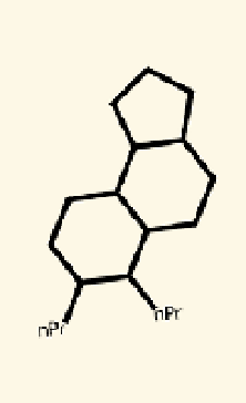 CCCC1CCC2C3CCCC3CCC2C1CCC